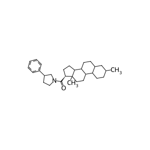 CC1CCC2C(CCC3C2CCC2(C)C3CC[C@@H]2C(=O)N2CCC(c3ccccc3)C2)C1